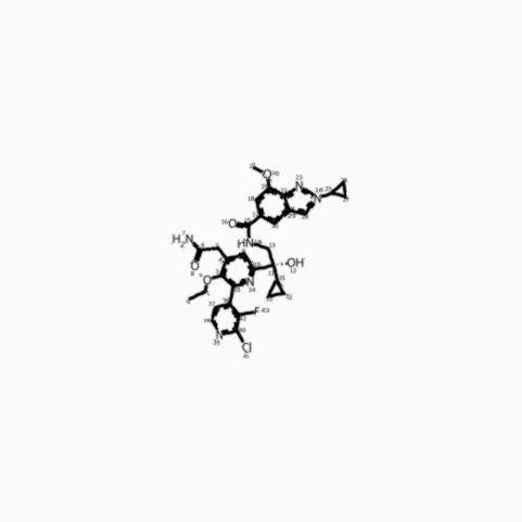 CCOc1c(CC(N)=O)cc([C@@](O)(CNC(=O)c2cc(OC)c3nn(C4CC4)cc3c2)C2CC2)nc1-c1ccnc(Cl)c1F